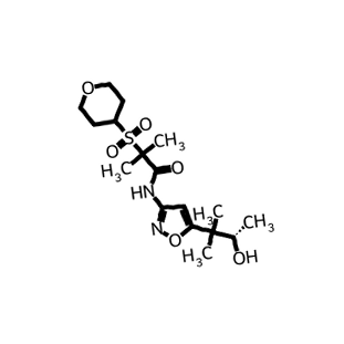 C[C@H](O)C(C)(C)c1cc(NC(=O)C(C)(C)S(=O)(=O)C2CCOCC2)no1